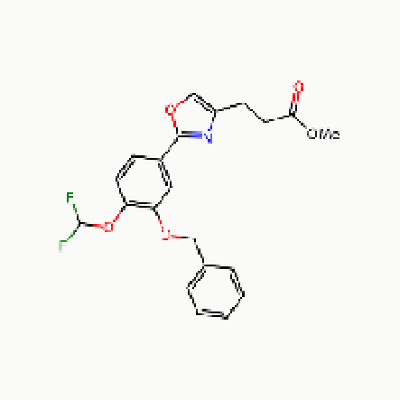 COC(=O)CCc1coc(-c2ccc(OC(F)F)c(OCc3ccccc3)c2)n1